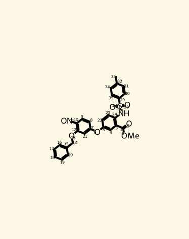 COC(=O)c1cc(Oc2ccc(N=O)c(OCc3ccccc3)c2)ccc1NS(=O)(=O)c1ccc(C)cc1